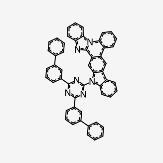 c1ccc(-c2cccc(-c3nc(-c4cccc(-c5ccccc5)c4)nc(-n4c5ccccc5c5cc6c7ccccc7n7c8ccccc8nc7c6cc54)n3)c2)cc1